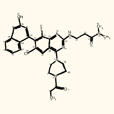 CCC(=O)N1CCN(c2nc(NCCC(=O)N(C)C)nc3c(F)c(-c4cc(O)cc5ccccc45)c(Cl)cc23)CC1